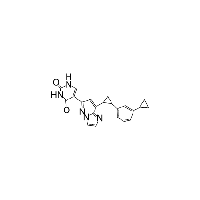 O=c1[nH]cc(-c2cc(C3CC3c3cccc(C4CC4)c3)c3nccn3n2)c(=O)[nH]1